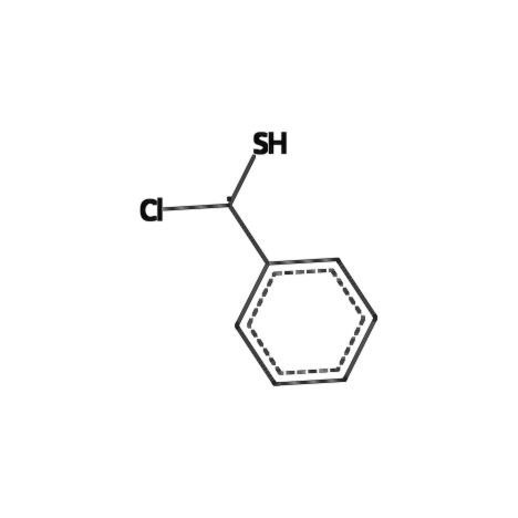 S[C](Cl)c1ccccc1